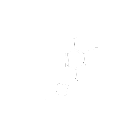 Cc1nc(N[C@H]2C[C@@H](C)C2)nnc1Br